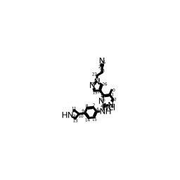 Cc1cnc(Nc2ccc(C3CNC3)cc2)nc1-c1cnn(CCC#N)c1.Cl